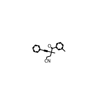 Cc1cccc(C(=O)C(C)(C#Cc2ccccc2)CCC#N)c1